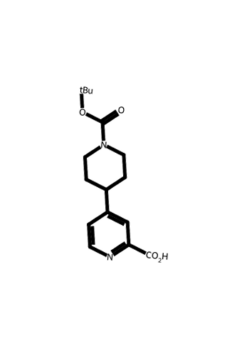 CC(C)(C)OC(=O)N1CCC(c2ccnc(C(=O)O)c2)CC1